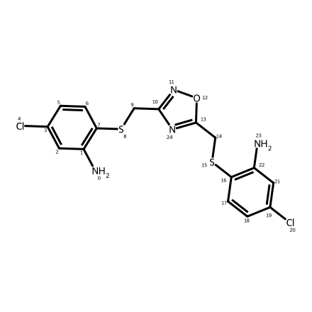 Nc1cc(Cl)ccc1SCc1noc(CSc2ccc(Cl)cc2N)n1